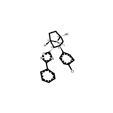 CN1[C@H]2CC[C@H]1[C@@H](c1nc(-c3ccccc3)no1)[C@H](c1ccc(Cl)cc1)C2